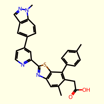 Cc1ccc(-c2c(CC(=O)O)c(C)cc3nc(-c4cc(-c5ccc6c(cnn6C)c5)ccn4)sc23)cc1